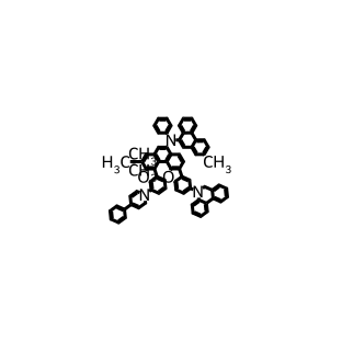 Cc1ccc2c(c1)cc(N(c1ccccc1)c1cc3cc(C(C)(C)C)c4oc5c(N6C=CC(c7ccccc7)=CC6)cccc5c4c3c3c1ccc1c4cc(N5Cc6ccccc6-c6ccccc65)ccc4oc13)c1ccccc12